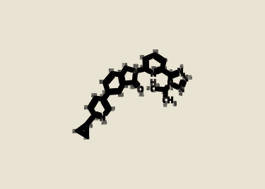 CC(C)n1nnnc1-c1cccc(N2Cc3ccc(-c4ccc(C5CC5)nc4)cc3C2=O)n1